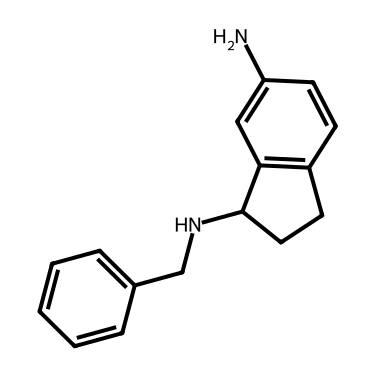 Nc1ccc2c(c1)C(NCc1ccccc1)CC2